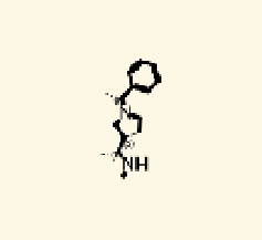 CN[C@H](C)[C@H]1CCN([C@H](C)c2ccccc2)C1